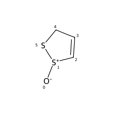 [O-][S+]1C=CCS1